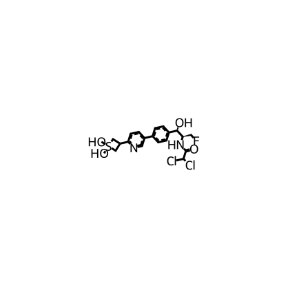 O=C(N[C@H](CF)[C@H](O)c1ccc(-c2ccc(C3CS(O)(O)C3)nc2)cc1)C(Cl)Cl